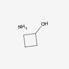 N.OC1CCC1